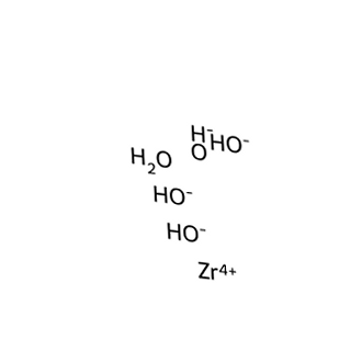 O.[OH-].[OH-].[OH-].[OH-].[Zr+4]